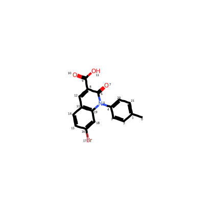 Cc1ccc(-n2c(=O)c(C(=O)O)cc3ccc(Br)cc32)cc1